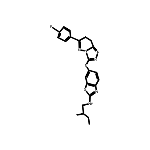 CCC(C)CNc1nc2ccc(Sc3nnc4n3N=C(c3ccc(F)cc3)CC4)cc2s1